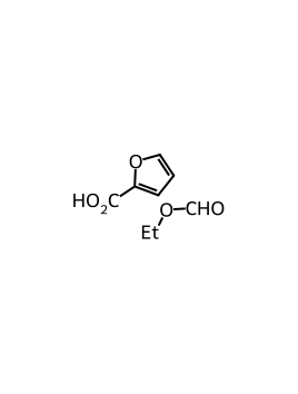 CCOC=O.O=C(O)c1ccco1